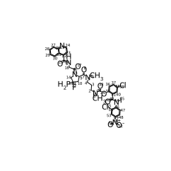 CN(CCCN(C)C(=O)C1CC(F)(P)CN1C(=O)CNC(=O)c1ccnc2ccccc12)C(=O)Oc1ccc(Cl)cc1C(=O)N(I)c1ccc([N+](=O)[O-])cc1Cl